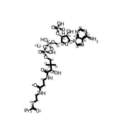 CC(C)C(=O)SCCNC(=O)CCNC(=O)[C@H](O)C(C)(C)COP(=O)(O)OP(=O)(O)OC[C@H]1O[C@@H](n2cnc3c(N)ncnc32)[C@H](O)[C@@H]1OP(=O)(O)O.[Li]